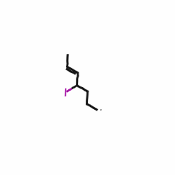 [CH2]CCC(I)C=CC